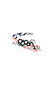 CCO[C@@H](C1C[C@@H](C)[C@H]2C(O1)[C@H](O)[C@@]1(C)C3CC[C@H]4C(C)(C)[C@@H](O[C@H]5CN(CC6CN(CCOC)C6)CCO5)CCC45C[C@@]35CC[C@]21C)C(C)(C)O